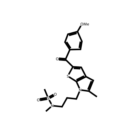 COc1ccc(C(=O)c2cc3cc(C)n(CCCN(C)S(C)(=O)=O)c3s2)cc1